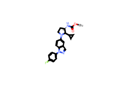 CC(C)(C)OC(=O)N[C@H]1CCN(c2ccc3c(cnn3-c3ccc(F)cc3)c2)C1C1CC1